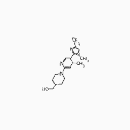 CC1C=C(N2CCC(CO)CC2)N=CC1c1nc(C(F)(F)F)cn1C